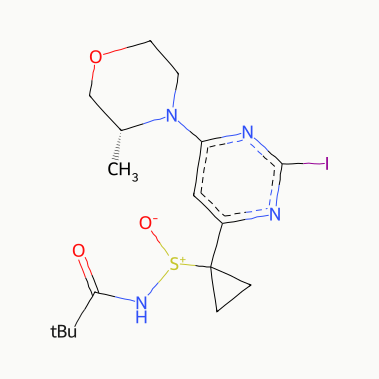 C[C@@H]1COCCN1c1cc(C2([S+]([O-])NC(=O)C(C)(C)C)CC2)nc(I)n1